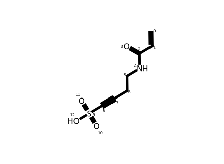 C=CC(=O)NCCC#CS(=O)(=O)O